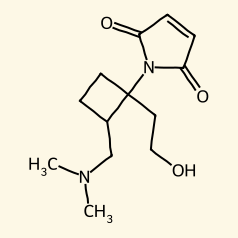 CN(C)CC1CCC1(CCO)N1C(=O)C=CC1=O